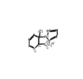 CCC1(n2nccn2)C=CC=NC1C(=O)O